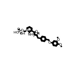 COc1ccc(OCc2ccc(Cc3cc(-c4ccc[n+](COP(=O)(O)O)c4N)on3)cc2)cc1OC